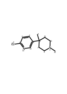 CCc1ccc(C2(C)CCN(C)CC2)cn1